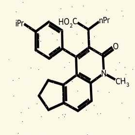 CCCC(C(=O)O)c1c(-c2ccc(C(C)C)cc2)c2c3c(ccc2n(C)c1=O)CCC3